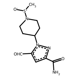 C[S+]([O-])N1CCC(n2nc(C(N)=O)cc2C=O)CC1